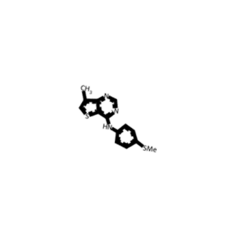 CSc1ccc(Nc2ncnc3c(C)csc23)cc1